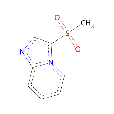 CS(=O)(=O)c1cnc2ccccn12